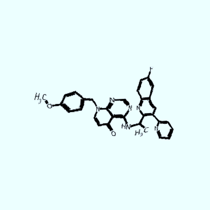 COc1ccc(Cn2ccc(=O)c3c(NC(C)c4nc5ccc(F)cc5cc4-c4ccccn4)ncnc32)cc1